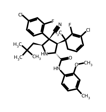 COc1cc(C)ccc1NC(=O)[C@@H]1N[C@@H](CC(C)(C)C)[C@](C#N)(c2ccc(Cl)cc2F)[C@H]1C1(C)CC=CC(Cl)=C1F